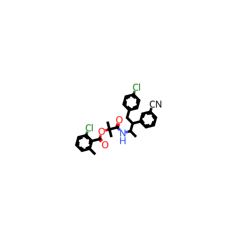 Cc1cccc(Cl)c1C(=O)OC(C)(C)C(=O)NC(C)C(Cc1ccc(Cl)cc1)c1cccc(C#N)c1